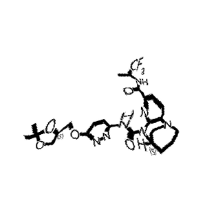 CC(NC(=O)c1ccc2c(n1)N(C(=O)Nc1ccc(OC[C@H]3COC(C)(C)O3)nn1)[C@H]1CCCN2C1)C(F)(F)F